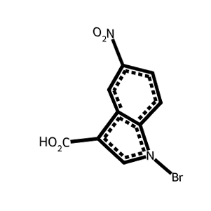 O=C(O)c1cn(Br)c2ccc([N+](=O)[O-])cc12